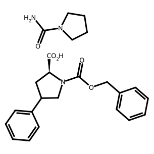 NC(=O)N1CCCC1.O=C(O)[C@@H]1CC(c2ccccc2)CN1C(=O)OCc1ccccc1